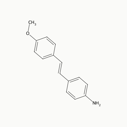 COc1ccc(C=Cc2ccc(N)cc2)cc1